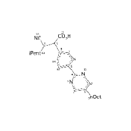 CCCCCCCCc1cnc(-c2ccc(C(C(=O)O)C(C#N)C(C)CCC)cc2)nc1